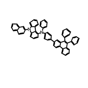 c1ccc(-c2c(-c3ccccc3)c3cc(-c4ccc(N(c5ccccc5)c5cccc6c5c5ccccc5n6-c5ccc6ccccc6c5)cc4)ccc3c3ccccc23)cc1